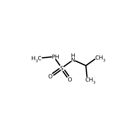 CPS(=O)(=O)NC(C)C